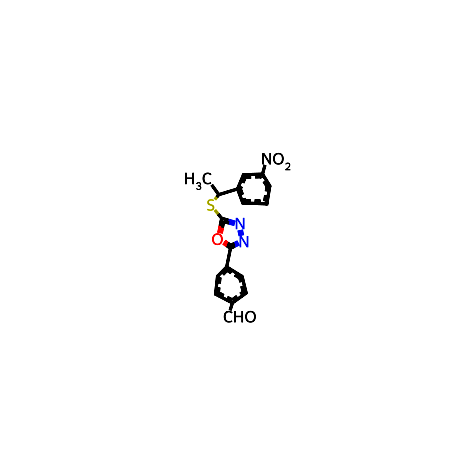 CC(Sc1nnc(-c2ccc(C=O)cc2)o1)c1cccc([N+](=O)[O-])c1